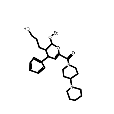 CCOC1OC(C(=O)N2CCC(N3CCCCC3)CC2)=CC(c2ccccc2)C1CCCO